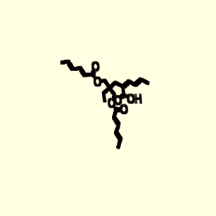 CC=CC=CC(=O)OCC(CC)(COC(=O)C=CC=CC)CC(=CC=CC)C(=O)O